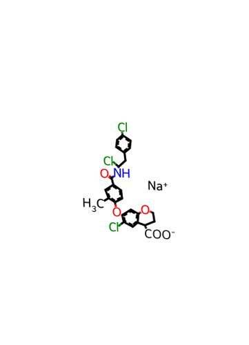 Cc1cc(C(=O)NC(Cl)Cc2ccc(Cl)cc2)ccc1Oc1cc2c(cc1Cl)C(C(=O)[O-])CCO2.[Na+]